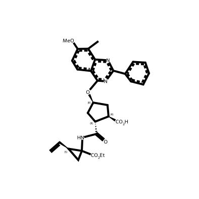 C=C[C@@H]1CC1(NC(=O)[C@@H]1C[C@@H](Oc2nc(-c3ccccc3)nc3c(C)c(OC)ccc23)C[C@H]1C(=O)O)C(=O)OCC